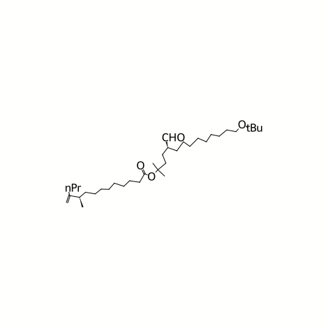 C=C(CCC)[C@H](C)CCCCCCCCC(=O)OC(C)(C)CC[C@@H](C=O)CCCCCCCCCOC(C)(C)C